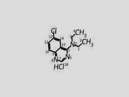 CCN(CC)c1ncnc2ccc(Cl)cc12.Cl